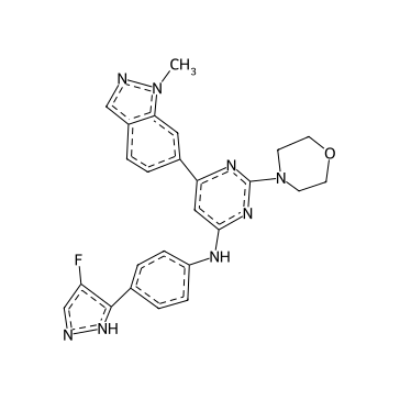 Cn1ncc2ccc(-c3cc(Nc4ccc(-c5[nH]ncc5F)cc4)nc(N4CCOCC4)n3)cc21